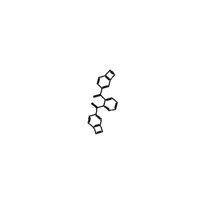 C=C(c1ccc2c(c1)C=C2)c1ccccc1C(=C)c1ccc2c(c1)C=C2